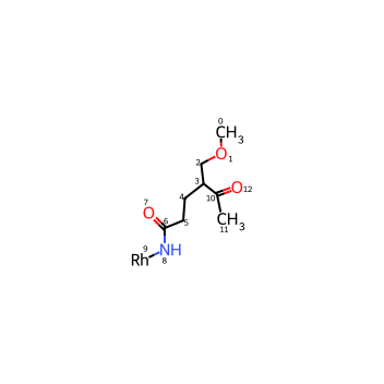 COCC(CCC(=O)[NH][Rh])C(C)=O